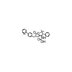 CC(C)(C)C(c1ccccc1)[C@H](NC(=O)O)[C@H]1CC(Cc2ccc(-c3ccccn3)cc2)C(=O)O1